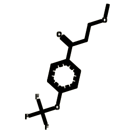 COCCC(=O)c1ccc(OC(F)(F)F)cc1